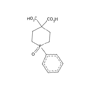 O=C(O)C1(C(=O)O)CCP(=O)(c2ccccc2)CC1